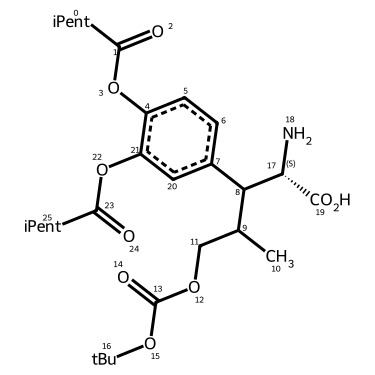 CCCC(C)C(=O)Oc1ccc(C(C(C)COC(=O)OC(C)(C)C)[C@H](N)C(=O)O)cc1OC(=O)C(C)CCC